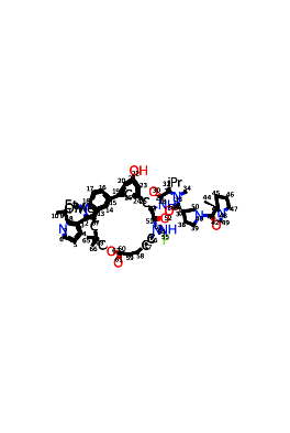 CCn1c(-c2cccnc2[C@H](C)OC)c2c3cc(ccc31)-c1cc(O)cc(c1)C[C@H](NC(=O)C(C(C)C)N(C)C(=O)[C@H]1CCN(C(=O)[C@]3(C)CCCN3C)C1)C(=O)N(NF)CCCCC(=O)OCC(C)(C)C2